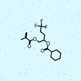 C=C(C)C(=O)OCC(CCC(F)(F)F)OC(=O)C1CCCCC1